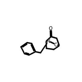 O=C1CC2CCC1N(Cc1ccccc1)C2